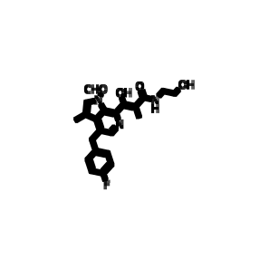 C/C(C(=O)NCCO)=C(/O)c1ncc(Cc2ccc(F)cc2)c2c(C)cn(C=O)c12